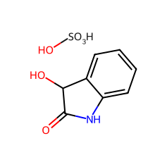 O=C1Nc2ccccc2C1O.O=S(=O)(O)O